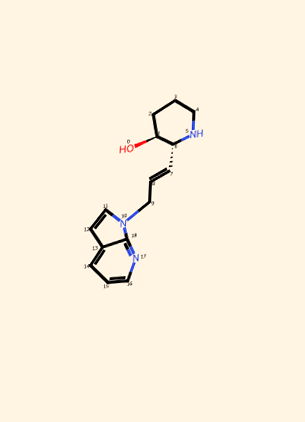 O[C@H]1CCCN[C@@H]1/C=C/Cn1ccc2cccnc21